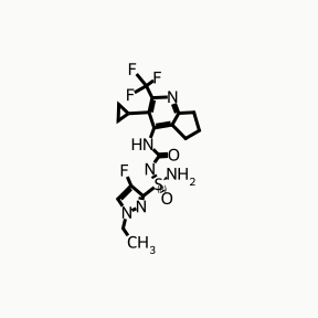 CCn1cc(F)c([S@](N)(=O)=NC(=O)Nc2c3c(nc(C(F)(F)F)c2C2CC2)CCC3)n1